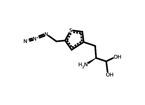 [N-]=[N+]=NCc1cc(C[C@H](N)C(O)O)cs1